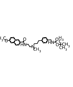 COc1ccc2cc(C(=O)NCCN(C)CCCc3ccc(CNC(=O)OC(C)(C)C)cc3)ccc2c1